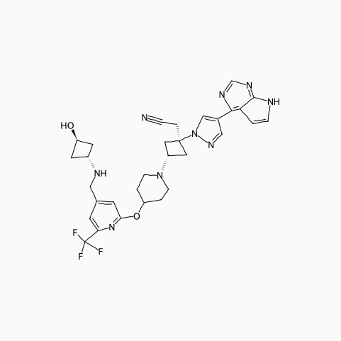 N#CC[C@]1(n2cc(-c3ncnc4[nH]ccc34)cn2)C[C@H](N2CCC(Oc3cc(CN[C@H]4C[C@H](O)C4)cc(C(F)(F)F)n3)CC2)C1